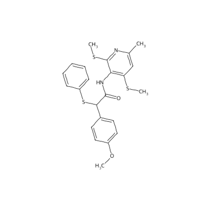 COc1ccc(C(Sc2ccccc2)C(=O)Nc2c(SC)cc(C)nc2SC)cc1